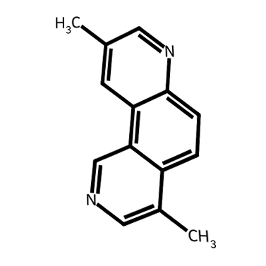 Cc1cnc2ccc3c(C)cncc3c2c1